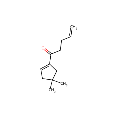 C=CCCC(=O)C1=CCC(C)(C)C1